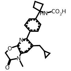 CN1C(=O)COc2nc(-c3ccc(C4(NC(=O)O)CCC4)cc3)c(CC3CC3)cc21